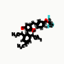 CCc1cc(C)cc(CC)c1C1C(=O)CC(Cc2cccc(OC(F)(F)F)c2)C1=O